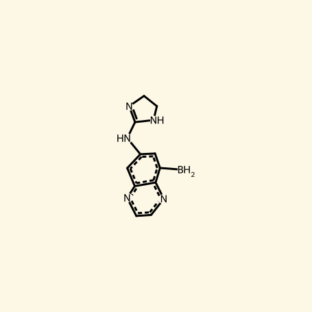 Bc1cc(NC2=NCCN2)cc2nccnc12